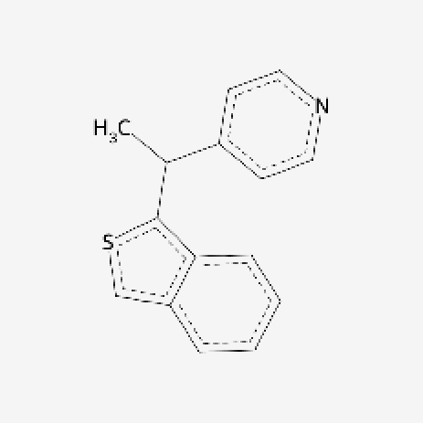 CC(c1ccncc1)c1scc2ccccc12